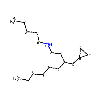 CCCCCCC(CCNCCCCC)CC1CC1